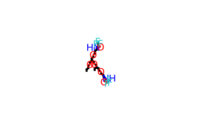 CCCCOC/C(=C/COCCCNC(=O)C(F)(F)F)COC/C(=C/COCCCNC(=O)C(F)(F)F)CC